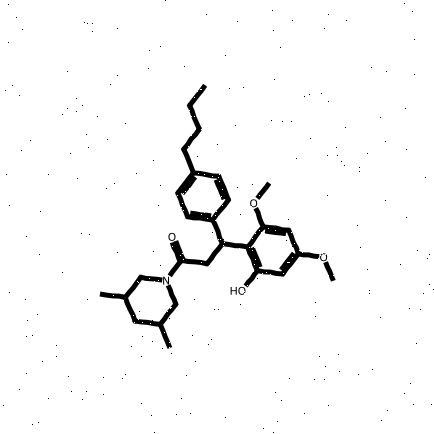 CCCCc1ccc(C(CC(=O)N2CC(C)CC(C)C2)c2c(O)cc(OC)cc2OC)cc1